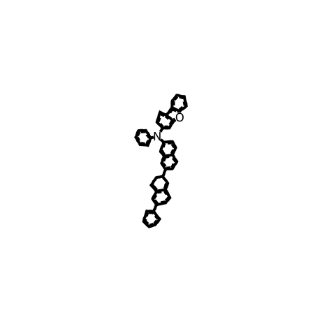 C1=c2ccc(-c3ccccc3)cc2=CCC1c1ccc2ccc(N(c3ccccc3)c3ccc4c(c3)oc3ccccc34)cc2c1